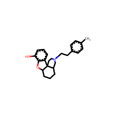 Cc1ccc(CCN2CCC34c5cccc(O)c5OC3CCCC4C2)cc1